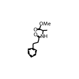 COC(=O)C(C)NC(=O)CCc1ccccc1